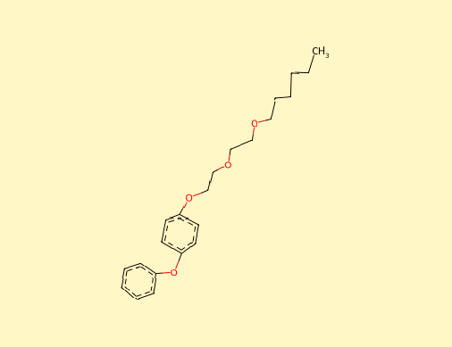 CCCCCCOCCOCCOc1ccc(Oc2ccccc2)cc1